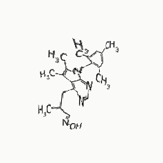 Cc1cc(C)c(-n2c(C)c(C)c3c(CC(C)C=NO)ncnc32)c(C)c1